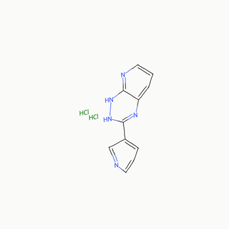 Cl.Cl.c1cncc(C2=Nc3cccnc3NN2)c1